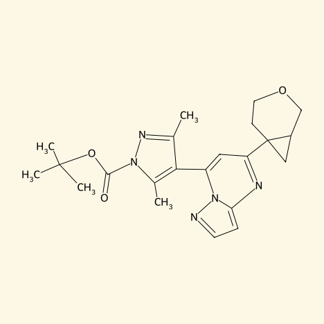 Cc1nn(C(=O)OC(C)(C)C)c(C)c1-c1cc(C23CCOCC2C3)nc2ccnn12